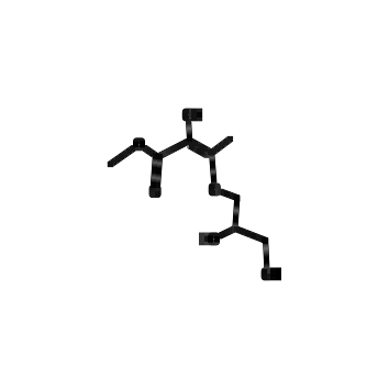 COC(=O)C(O)=C(C)OCC(O)CO